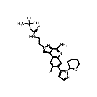 CC(C)(C)OC(=O)NCCn1cc2c(n1)c(N)nc1cc(-c3ccnn3C3CCCCO3)c(Cl)cc12